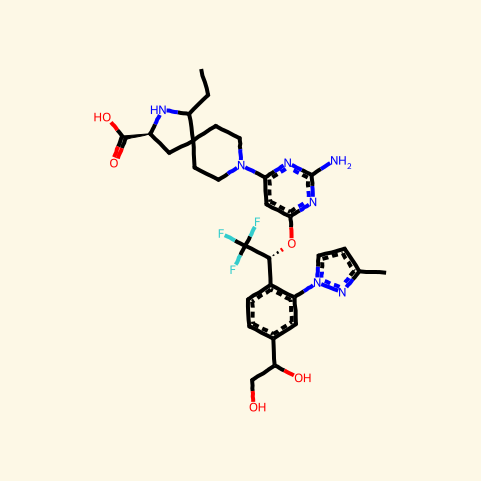 CCC1N[C@H](C(=O)O)CC12CCN(c1cc(O[C@H](c3ccc(C(O)CO)cc3-n3ccc(C)n3)C(F)(F)F)nc(N)n1)CC2